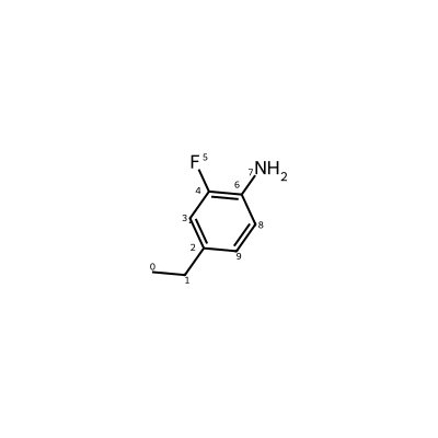 CCc1[c]c(F)c(N)cc1